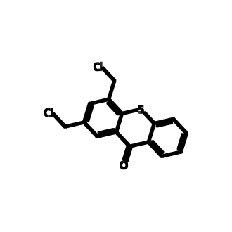 O=c1c2ccccc2sc2c(CCl)cc(CCl)cc12